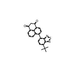 CC(C)(C)c1ccc(-c2ccc3c4c(cccc24)C(=O)CC3=O)c2nsnc12